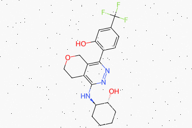 Oc1cc(C(F)(F)F)ccc1-c1nnc(N[C@@H]2CCCC[C@H]2O)c2c1COCC2